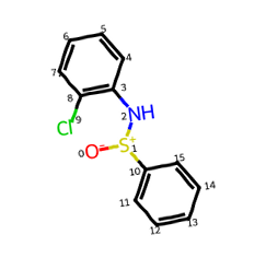 [O-][S+](Nc1ccc[c]c1Cl)c1ccccc1